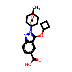 CC12CCC(n3nc4ccc(C(=O)O)cc4c3OC3CCC3)(CC1)CO2